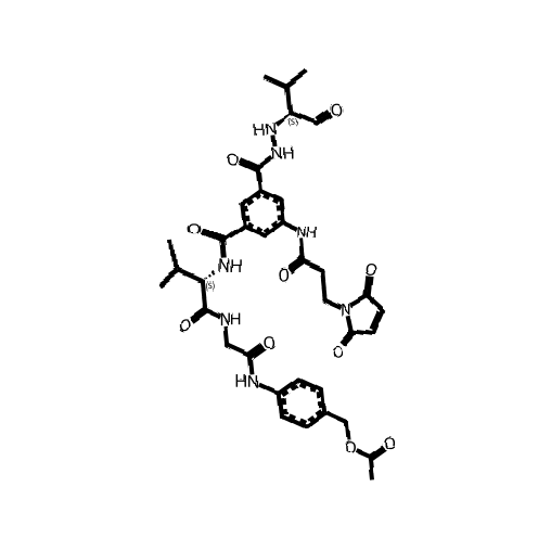 CC(=O)OCc1ccc(NC(=O)CNC(=O)[C@@H](NC(=O)c2cc(NC(=O)CCN3C(=O)C=CC3=O)cc(C(=O)NN[C@H](C=O)C(C)C)c2)C(C)C)cc1